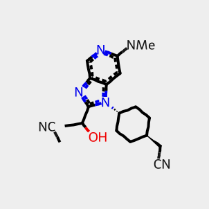 CC#N.CNc1cc2c(cn1)nc(C(C)O)n2[C@H]1CC[C@H](CC#N)CC1